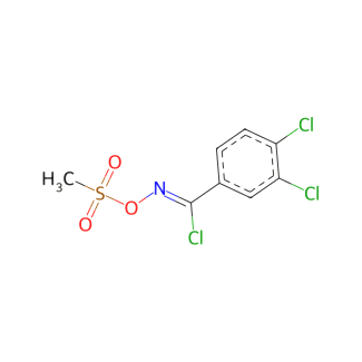 CS(=O)(=O)O/N=C(\Cl)c1ccc(Cl)c(Cl)c1